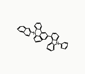 c1ccc(N(c2ccc3ccccc3c2)c2ccccc2-c2cccc(-c3cccc4c3c3ccccc3n4-c3ccccc3)c2)cc1